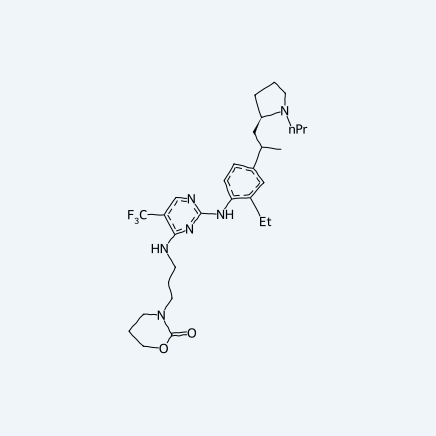 CCCN1CCC[C@@H]1CC(C)c1ccc(Nc2ncc(C(F)(F)F)c(NCCCN3CCCOC3=O)n2)c(CC)c1